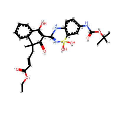 CCOC(=O)C=CCC1(C)C(=O)C(C2=NS(O)(O)c3cc(NC(=O)OC(C)(C)C)ccc3N2)=C(O)c2ccccc21